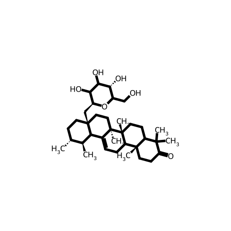 C[C@@H]1CC[C@]2(C[C@@H]3OC(CO)[C@@H](O)C(O)C3O)CC[C@]3(C)C(=CCC4[C@@]5(C)CCC(=O)C(C)(C)C5CC[C@]43C)C2[C@H]1C